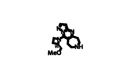 COC[C@H]1CCN1c1c2c(nc3ccnn13)CCNCC2